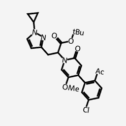 COc1cn(C(Cc2ccn(C3CC3)n2)C(=O)OC(C)(C)C)c(=O)cc1-c1cc(Cl)ccc1C(C)=O